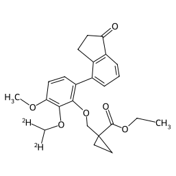 [2H]C([2H])Oc1c(OC)ccc(-c2cccc3c2CCC3=O)c1OCC1(C(=O)OCC)CC1